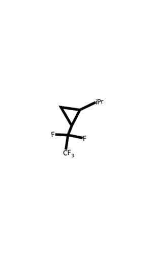 CC(C)C1CC1C(F)(F)C(F)(F)F